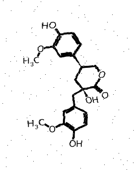 COc1cc(C[C@]2(O)C[C@@H](c3ccc(O)c(OC)c3)COC2=O)ccc1O